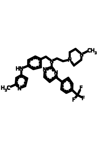 Cc1cc(Nc2ccc(CN(CCN3CCN(C)CC3)c3nccc(-c4ccc(C(F)(F)F)cc4)n3)cc2)ccn1